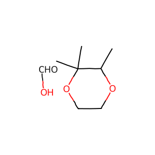 CC1OCCOC1(C)C.O=CO